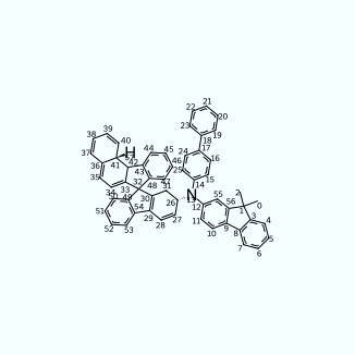 CC1(C)c2ccccc2-c2ccc(N(c3ccc(-c4ccccc4)cc3)[C@@H]3C=CC4=C(C3)C3(C5=CC=C6C=CC=C[C@@H]6C5c5ccccc53)c3ccccc34)cc21